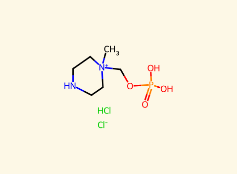 C[N+]1(COP(=O)(O)O)CCNCC1.Cl.[Cl-]